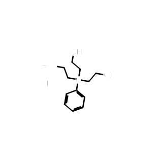 CCC[P+](CCC)(CCC)c1ccccc1.[Cl-]